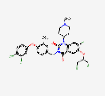 COc1cc(Cn2c(=O)c3cc(OC(CF)CF)c(F)cc3n(C3CCN(C=O)CC3)c2=O)ccc1Oc1ccc(Cl)c(Cl)c1